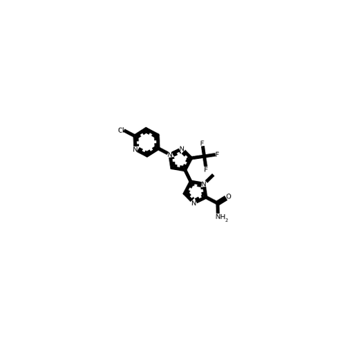 Cn1c(-c2cn(-c3ccc(Cl)nc3)nc2C(F)(F)F)cnc1C(N)=O